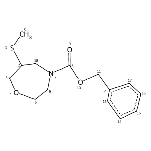 CSC1COCCN(C(=O)OCc2ccccc2)C1